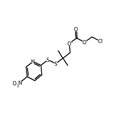 CC(C)(COC(=O)OCCl)SSc1ccc([N+](=O)[O-])cn1